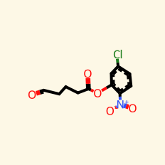 O=CCCCC(=O)Oc1cc(Cl)ccc1[N+](=O)[O-]